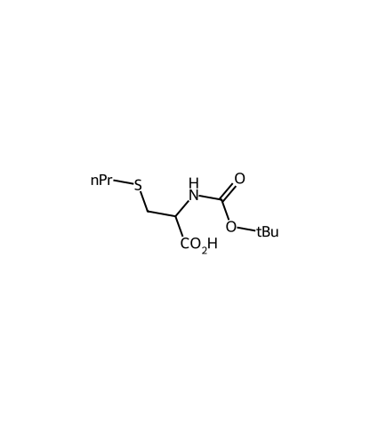 CCCSCC(NC(=O)OC(C)(C)C)C(=O)O